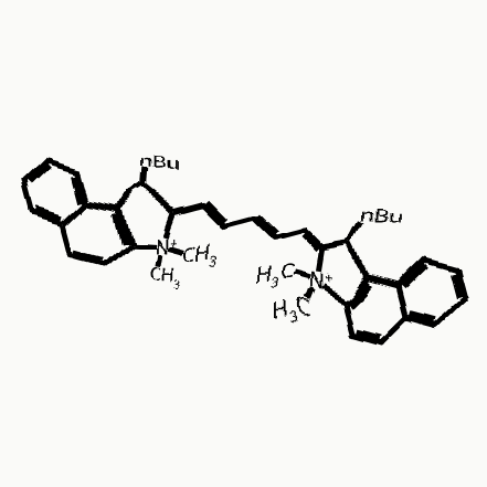 CCCCC1C(=CC=CC=CC2C(CCCC)c3c(ccc4ccccc34)[N+]2(C)C)[N+](C)(C)c2ccc3ccccc3c21